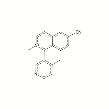 Cc1ccncc1-c1c2ccc(C#N)cc2cc[n+]1C